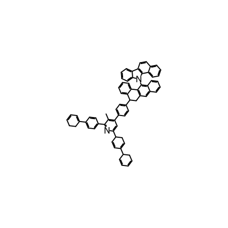 Cc1c(-c2ccc(C3Cc4cc5ccccc5c(-n5c6ccccc6c6ccc7ccccc7c65)c4-c4ccccc43)cc2)cc(C2C=CC(C3C=CC=CC3)=CC2)nc1-c1ccc(C2=CC=CCC2)cc1